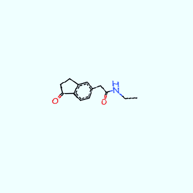 CCNC(=O)Cc1ccc2c(c1)CCC2=O